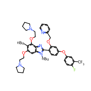 CCCCc1c(OCCN2CCCC2)cc2c(nc(-c3ccc(Oc4ccc(F)c(C(F)(F)F)c4)cc3OCc3ccccn3)n2CCCC)c1OCCN1CCCC1